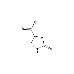 O=C1C=C(C(=O)O)CN1